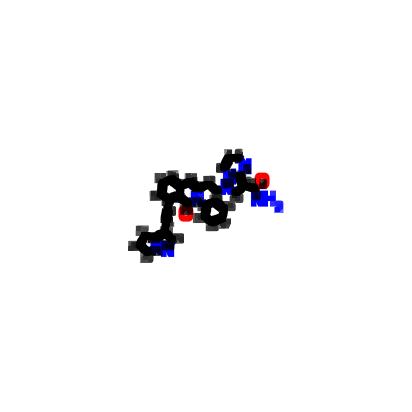 NC(=O)C1=C2N=CC=CN2N(CCc2cc3cccc(C#Cc4cnn5c4CCC5)c3c(=O)n2-c2ccccc2)C1